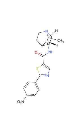 C[C@H]1[C@H](NC(=O)c2cnc(-c3ccc([N+](=O)[O-])cc3)s2)C2CCN1CC2